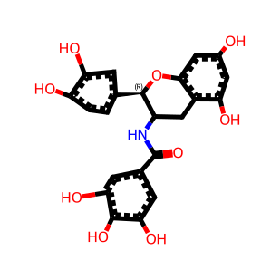 O=C(NC1Cc2c(O)cc(O)cc2O[C@@H]1c1ccc(O)c(O)c1)c1cc(O)c(O)c(O)c1